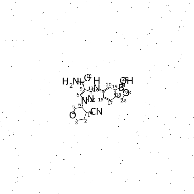 N#C[C@H]1CCOCC1n1cc(C(N)=O)c(Nc2ccc3c(c2)B(O)OC3)n1